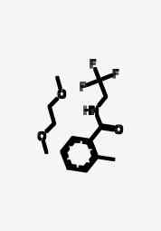 COCCOC.Cc1ccccc1C(=O)NCC(F)(F)F